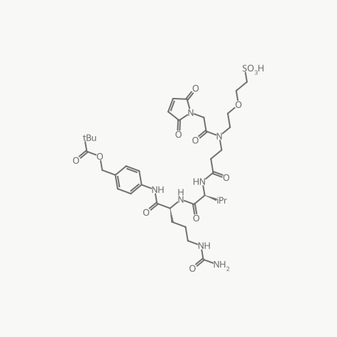 CC(C)[C@H](NC(=O)CCN(CCOCCS(=O)(=O)O)C(=O)CN1C(=O)C=CC1=O)C(=O)N[C@@H](CCCNC(N)=O)C(=O)Nc1ccc(COC(=O)C(C)(C)C)cc1